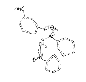 C=[N+]([O-])c1ccccc1.C=[N+]([O-])c1ccccc1.O=Cc1cccc(C=O)c1